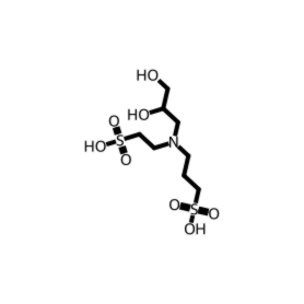 O=S(=O)(O)CCCN(CCS(=O)(=O)O)CC(O)CO